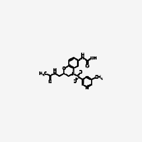 CC(=O)NCC1CN(S(=O)(=O)c2cncc(C)c2)c2cc(NC(=O)O)ccc2O1